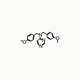 COc1ccc(CN(Cc2ccc(OC)cc2)c2ccncn2)cc1